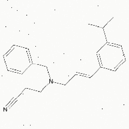 CC(C)c1cccc(C=CCN(CCC#N)Cc2ccccc2)c1